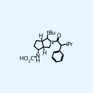 CC(C)C(C(=O)N1C[C@@H]2[C@@H](NC(=O)O)CC[C@@H]2C1C(C)(C)C)c1ccccc1